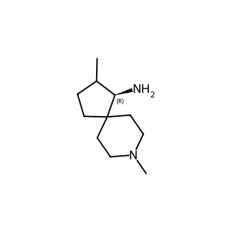 CC1CCC2(CCN(C)CC2)[C@@H]1N